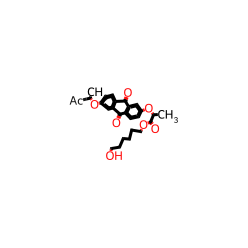 CC(=O)C(C)Oc1ccc2c(c1)C(=O)c1ccc(OC(C)C(=O)OCCCCCCO)cc1C2=O